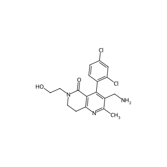 Cc1nc2c(c(-c3ccc(Cl)cc3Cl)c1CN)C(=O)N(CCO)CC2